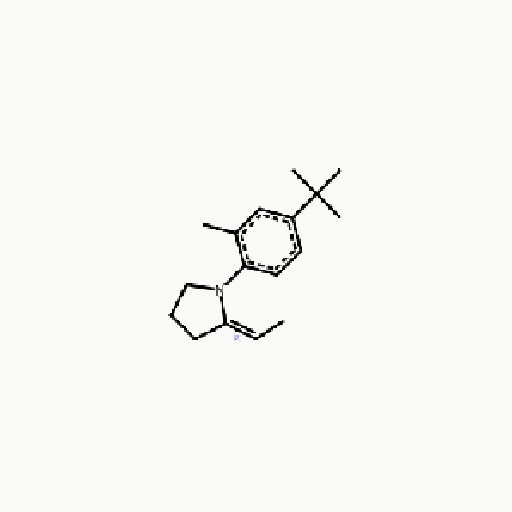 C/C=C1/CCCN1c1ccc(C(C)(C)C)cc1C